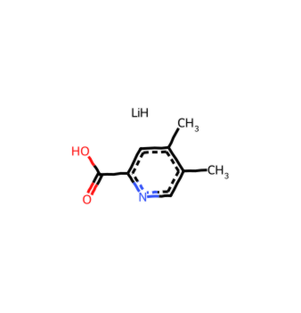 Cc1cnc(C(=O)O)cc1C.[LiH]